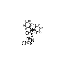 O=C(Sc1nsc(Cl)n1)N(c1ccccc1)c1ccccc1